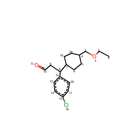 CCOCC1CCC(C(CC=O)c2ccc(Cl)cc2)CC1